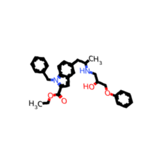 CCOC(=O)c1cc2cc(CC(C)NCC(O)COc3ccccc3)ccc2n1Cc1ccccc1